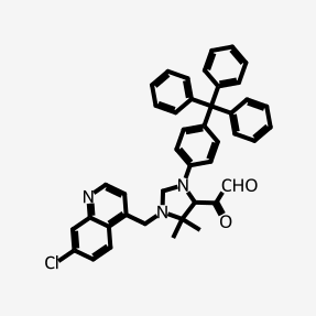 CC1(C)C(C(=O)C=O)N(c2ccc(C(c3ccccc3)(c3ccccc3)c3ccccc3)cc2)CN1Cc1ccnc2cc(Cl)ccc12